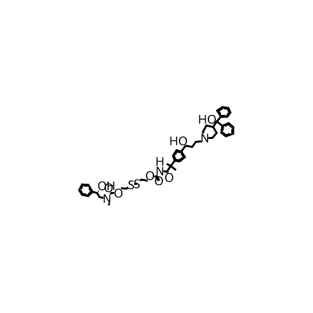 CN(C[C@@H](O)c1ccccc1)C(=O)OCCSSCCOC(=O)NC(=O)C(C)(C)c1ccc(C(O)CCCN2CCC(C(O)(c3ccccc3)c3ccccc3)CC2)cc1